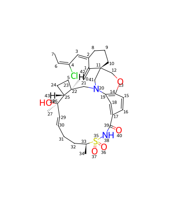 C=C1/C(=C\C(Cl)=C/C)CCC[C@]12COc1ccc3cc1N(C[C@@H]1CC[C@H]1[C@](C)(O)/C=C/CC[C@H](C)S(=O)(=O)NC3=O)C2